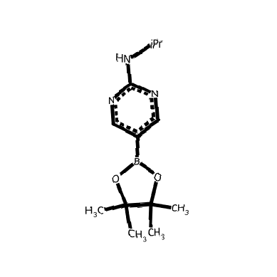 CC(C)Nc1ncc(B2OC(C)(C)C(C)(C)O2)cn1